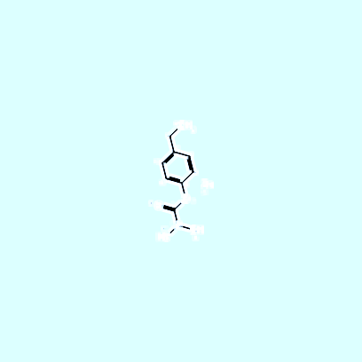 CCc1ccc(OC(=O)N(S)S)cc1.[Zn]